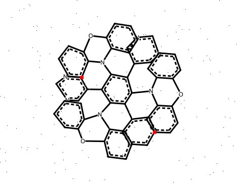 c1ccc2c(c1)Oc1ccccc1N2c1c(-c2cncnc2)c(N2c3ccccc3Oc3ccccc32)c(-c2cncnc2)c(N2c3ccccc3Oc3ccccc32)c1-c1cncnc1